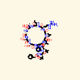 CC[C@H](C)[C@@H]1NC(=O)[C@@H](CCCNC(=N)N)NC(=O)[C@H](CC(C)C)NC(=O)[C@H]([C@H](O)C(C)C)NC(=O)[C@@H](NC(=O)[C@H](CC(C)(C)C)NC(=O)[C@@H](CC(C)(C)C)NC(=O)OCc2ccccc2)[C@@H](c2ccccc2)NC(=O)[C@H](CO)NC(=O)[C@H](CO)NC(=O)CNC(=O)[C@H]([C@H](C)O)NC1=O